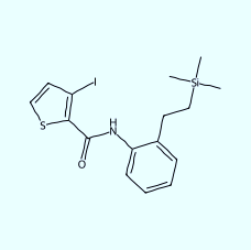 C[Si](C)(C)CCc1ccccc1NC(=O)c1sccc1I